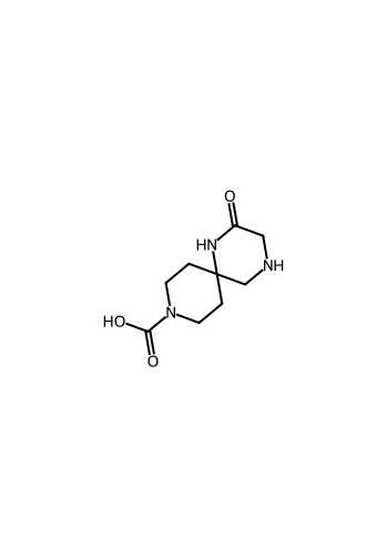 O=C1CNCC2(CCN(C(=O)O)CC2)N1